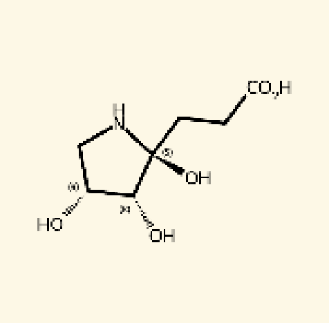 O=C(O)CC[C@@]1(O)NC[C@@H](O)[C@H]1O